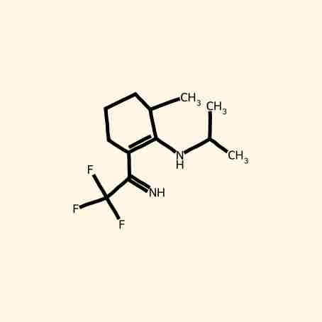 CC(C)NC1=C(C(=N)C(F)(F)F)CCCC1C